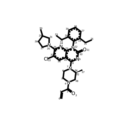 C=CC(=O)N1CCN(c2nc(=O)n(-c3c(CC)cccc3CC)c3nc(N4CCC(C)C4)c(Cl)cc23)[C@@H](C)C1